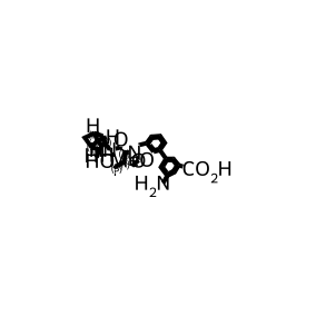 COc1c(CN2OC[C@H]([C@H](C)O)[C@H]2C(=O)N[C@H]2C[C@H]3C[C@@H]([C@@H]2C)C3(C)C)cccc1-c1cc(N)cc(C(=O)O)c1